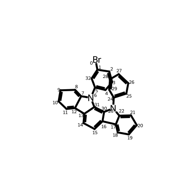 Brc1cccc(-n2c3ccccc3c3ccc4c5ccccc5n(-c5ccccc5)c4c32)c1